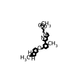 Cc1ccc(COc2ccc3c(c2)C[C@H]2[C@H](C)[C@@H]32)cc1-c1cnc2c(ccn2CCCS(C)(=O)=O)c1